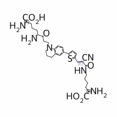 N#C/C(=C\c1ccc(-c2ccc3c(c2)CCCN3CCC(=O)C(N)CCC[C@@H](N)C(=O)O)s1)C(=O)NCCCC[C@@H](N)C(=O)O